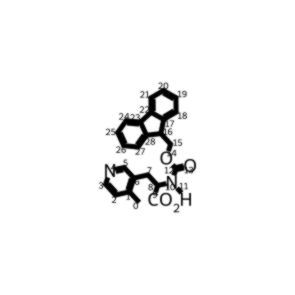 Cc1ccncc1CC(C(=O)O)N(C)C(=O)OCC1c2ccccc2-c2ccccc21